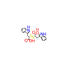 O=C(O)C(Cc1c[nH]c2ccccc12)SSC(Cc1c[nH]c2ccccc12)C(=O)O